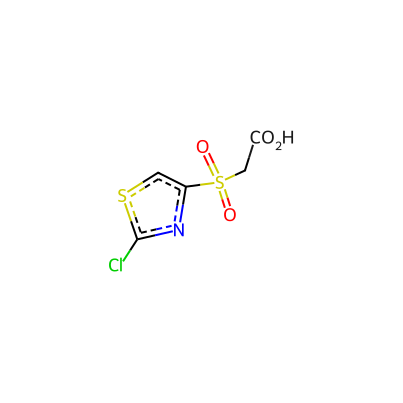 O=C(O)CS(=O)(=O)c1csc(Cl)n1